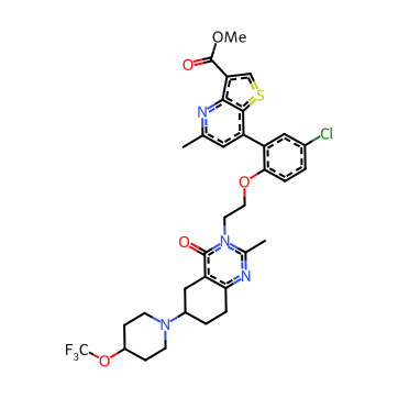 COC(=O)c1csc2c(-c3cc(Cl)ccc3OCCn3c(C)nc4c(c3=O)CC(N3CCC(OC(F)(F)F)CC3)CC4)cc(C)nc12